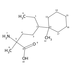 CCC(CCC(C)(N)C(=O)O)C1(C)CCCCC1